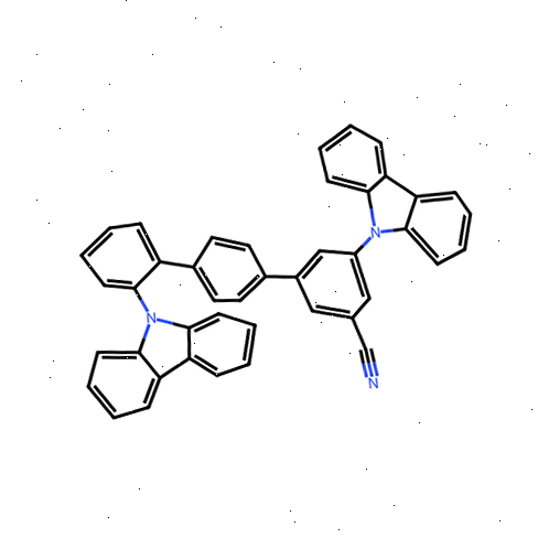 N#Cc1cc(-c2ccc(-c3ccccc3-n3c4ccccc4c4ccccc43)cc2)cc(-n2c3ccccc3c3ccccc32)c1